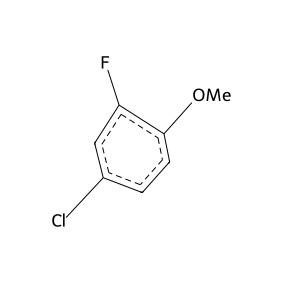 [CH2]Oc1ccc(Cl)cc1F